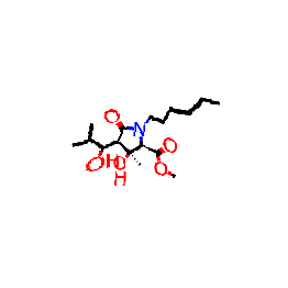 CCCCCCN1C(=O)[C@H]([C@@H](O)C(C)C)[C@](C)(O)[C@@H]1C(=O)OC